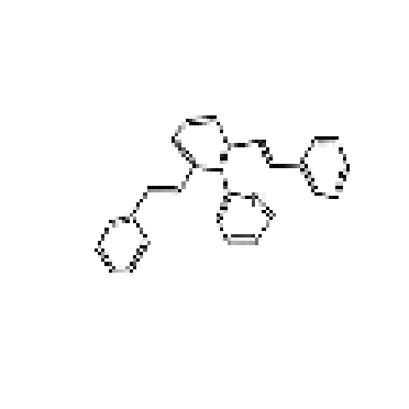 C(=C\c1cccc(/C=C/c2ccccc2)c1-c1ccccn1)/c1ccccc1